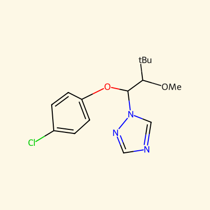 COC(C(Oc1ccc(Cl)cc1)n1cncn1)C(C)(C)C